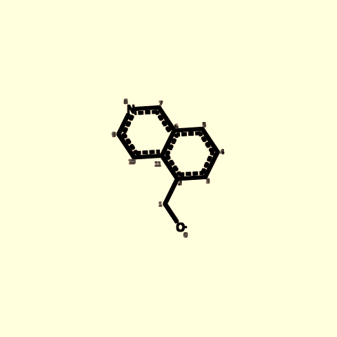 [O]Cc1cccc2cnccc12